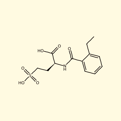 CCc1ccccc1C(=O)N[C@@H](CCS(=O)(=O)O)C(=O)O